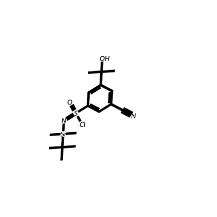 CC(C)(O)c1cc(C#N)cc(S(=O)(Cl)=N[Si](C)(C)C(C)(C)C)c1